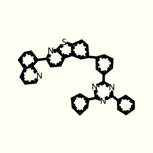 c1ccc(-c2nc(-c3ccccc3)nc(-c3cccc(-c4ccc5sc6nc(-c7cccc8cccnc78)ccc6c5c4)c3)n2)cc1